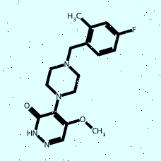 COc1cn[nH]c(=O)c1N1CCN(Cc2ccc(F)cc2C)CC1